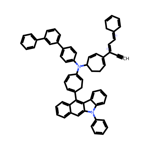 C#C/C(=C\C=C1\C=CC=CC1)C1=CCCC(N(C2=CCC(c3c4ccccc4cc4c3c3ccccc3n4-c3ccccc3)=CC=C2)c2ccc(-c3cccc(-c4ccccc4)c3)cc2)C=C1